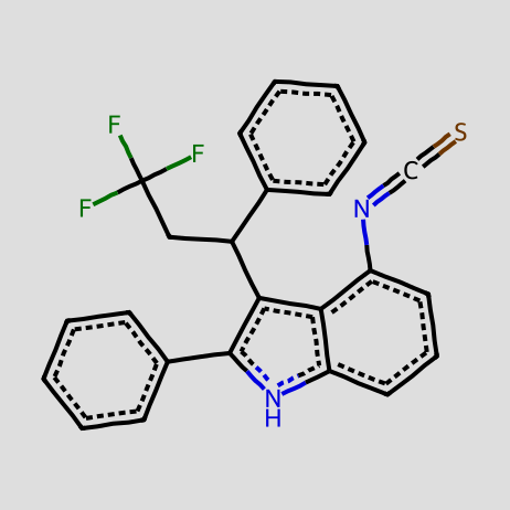 FC(F)(F)CC(c1ccccc1)c1c(-c2ccccc2)[nH]c2cccc(N=C=S)c12